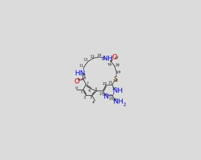 Cc1cc(C)c2cc1C(=O)NCCCCNC(=O)CCSC1C=C2N=C(N)N1